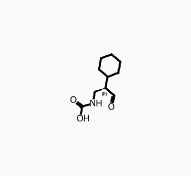 O=C[C@@H](CNC(=O)O)C1CCCCC1